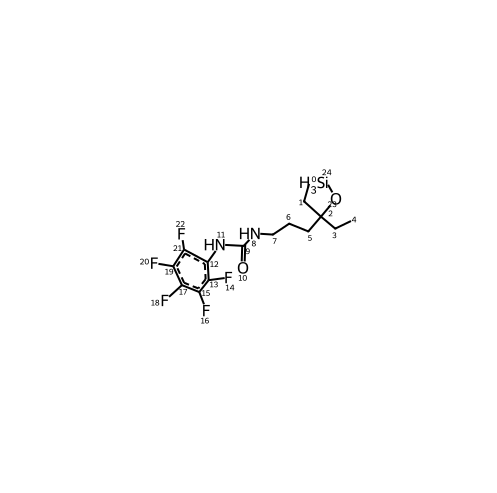 CCC(CC)(CCCNC(=O)Nc1c(F)c(F)c(F)c(F)c1F)O[SiH3]